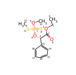 CCOC(=O)[C@@H](OP(=S)(OC)SC)c1ccccc1